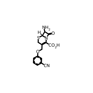 N#Cc1cccc(OCC2=C(C(=O)O)N3C(=O)C(N)[C@H]3SC2)c1